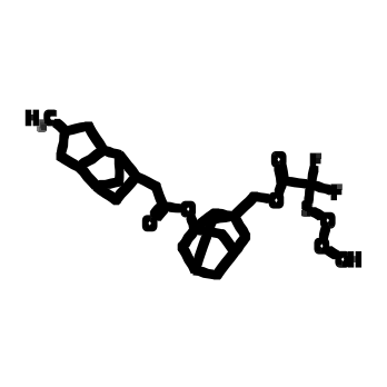 CC1CC2C3CC(CC(=O)OC45CC6CC(CC(COC(=O)C(F)(F)SOOO)(C6)C4)C5)C(C3)C2C1